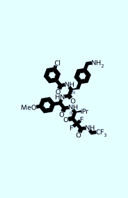 COc1ccc(C(NC(=O)[C@H](Cc2ccc(CN)cc2)NC(=O)c2cccc(Cl)c2)C(=O)N[C@H](C(=O)C(F)(F)C(=O)NCC(F)(F)F)C(C)C)cc1